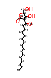 CCCCCCCCCCCCCCCC(=O)C1=C(O)C(CO)OC1=O